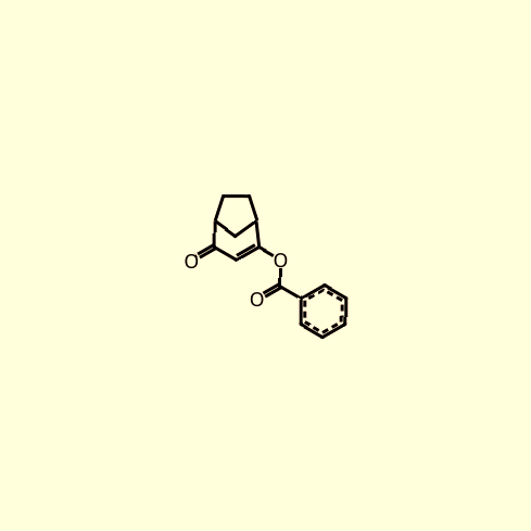 O=C(OC1=CC(=O)C2CCC1C2)c1ccccc1